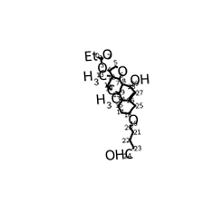 CCC(=O)OC1COC2C3C(CC[C@]12C)[C@@]1(C)CC[C@H](OCCCCC=O)CC1=C[C@@H]3O